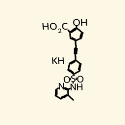 Cc1cccnc1NS(=O)(=O)c1ccc(C#Cc2ccc(O)c(C(=O)O)c2)cc1.[KH]